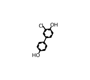 Oc1ccc(-c2ccc(O)c(Cl)c2)cc1